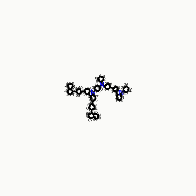 c1ccc(N(c2ccc(-c3ccc4c(c3)c3ccccc3n4-c3ccccc3)cc2)c2ccc(-n3c4ccc(-c5ccc(-c6cccc7ccccc67)cc5)cc4c4cc(-c5ccc(-c6cccc7ccccc67)cc5)ccc43)cc2)cc1